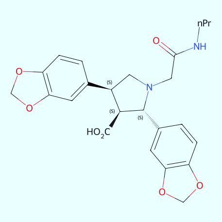 CCCNC(=O)CN1C[C@H](c2ccc3c(c2)OCO3)[C@H](C(=O)O)[C@H]1c1ccc2c(c1)OCO2